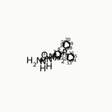 NNC(=O)NN.c1ccc(P(c2ccccc2)c2ccccc2)cc1